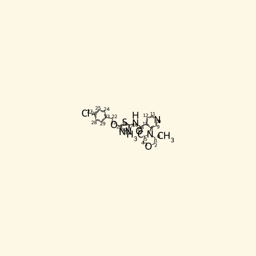 C[C@@H]1COC[C@@H](C)N1c1cnccc1C(=O)Nc1nnc(OCc2ccc(Cl)cc2)s1